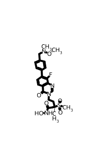 CON(C)Cc1ccc(-c2ccc3c(=O)n(CC[C@](C)(C(=O)NO)S(C)(=O)=O)cnc3c2F)cc1